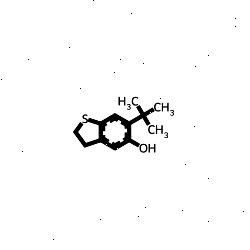 CC(C)(C)c1cc2c(cc1O)CCS2